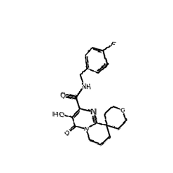 O=C(NCc1ccc(F)cc1)c1nc2n(c(=O)c1O)CCCC21CCOCC1